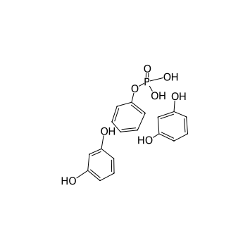 O=P(O)(O)Oc1ccccc1.Oc1cccc(O)c1.Oc1cccc(O)c1